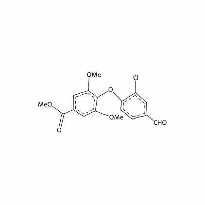 COC(=O)c1cc(OC)c(Oc2ccc(C=O)cc2Cl)c(OC)c1